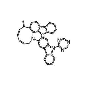 C=C1/C=C\C=C/CN(c2ccc3c(c2)c2ccccc2n3-c2ncncn2)c2c1ccc1c2oc2ccccc21